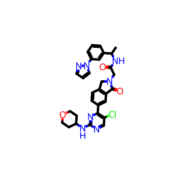 CC(NC(=O)CN1Cc2ccc(-c3nc(NC4CCOCC4)ncc3Cl)cc2C1=O)c1cccc(-n2cccn2)c1